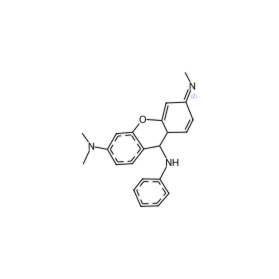 C/N=C1/C=CC2C(=C1)Oc1cc(N(C)C)ccc1C2Nc1ccccc1